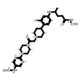 CC(CCC(=O)NC=O)Nc1ccc(C2CCN(CC(=O)N3CCN(c4ncc(NC=O)cn4)CC3)CC2)c(F)c1